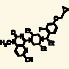 CC[C@H]1CN([C@H](CC)c2ccc(OCC3CC3)cc2F)[C@H](CC)CN1c1nc(=O)n(C)c2ccc(C#N)nc12